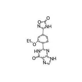 CCOc1cc(-c2noc(=O)[nH]2)ccc1-c1nc2[nH]cnc2c(=O)[nH]1